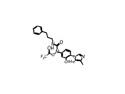 COc1cc(N(OC(=O)C(F)(F)F)C(=O)NCCCc2ccccc2)ccc1-n1cnc(C)c1